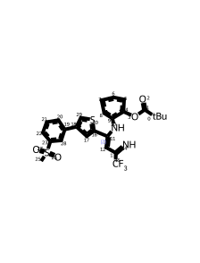 CC(C)(C)C(=O)Oc1ccccc1N/C(=C\C(=N)C(F)(F)F)c1cc(-c2cccc(S(C)(=O)=O)c2)cs1